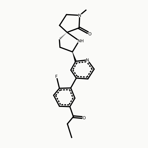 CCC(=O)c1ccc(F)c(-c2ccnc([C@H]3CC[C@@]4(CCN(C)C4=O)N3)c2)c1